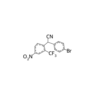 N#CC(c1ccc(Br)cc1)c1ccc([N+](=O)[O-])cc1C(F)(F)F